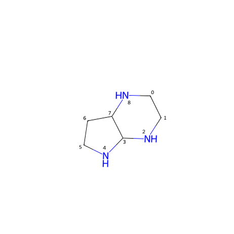 C1CNC2NCCC2N1